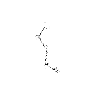 C=CC(CCCCC(=O)CCC(=O)CCC1CCC(CCCCCCC(=O)C(CC(=O)CCCCC(=C)C(C)=O)CC(C)C)C1)C(=O)CCCCCC(=O)CC(CO)C(C)O